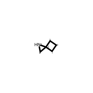 C1CC2(C1)CN2